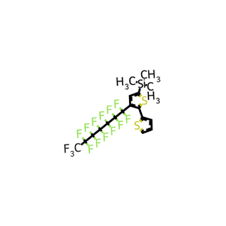 C[Si](C)(C)c1cc(C(F)(F)C(F)(F)C(F)(F)C(F)(F)C(F)(F)C(F)(F)C(F)(F)F)c(-c2cccs2)s1